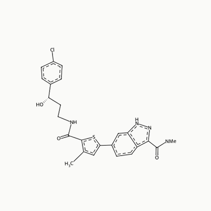 CNC(=O)c1n[nH]c2cc(-c3cc(C)c(C(=O)NCC[C@H](O)c4ccc(Cl)cc4)s3)ccc12